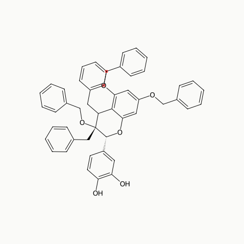 Oc1ccc([C@H]2Oc3cc(OCc4ccccc4)cc(OCc4ccccc4)c3C(Cc3ccccc3)[C@@]2(Cc2ccccc2)OCc2ccccc2)cc1O